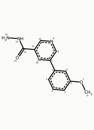 COc1cccc(-c2cncc(C(=O)NN)n2)c1